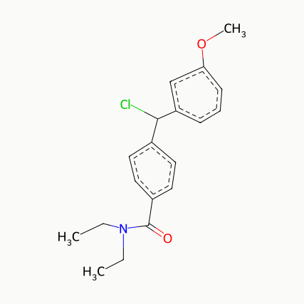 CCN(CC)C(=O)c1ccc(C(Cl)c2cccc(OC)c2)cc1